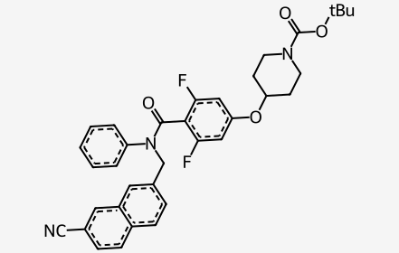 CC(C)(C)OC(=O)N1CCC(Oc2cc(F)c(C(=O)N(Cc3ccc4ccc(C#N)cc4c3)c3ccccc3)c(F)c2)CC1